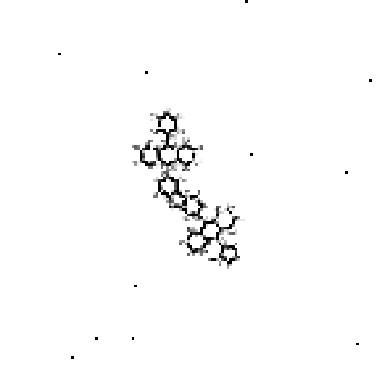 Cc1cscc1-c1c2c(c(-c3ccc4c(c3)sc3ccc(-c5c6ccccc6c(-c6ccccc6)c6ccccc56)cc34)c3ccccc13)CCC=C2